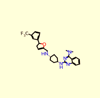 CN(C)c1nc(N[C@H]2CC[C@@H](NCC3=CCC(c4cccc(C(F)(F)F)c4)O3)CC2)nc2ccccc12